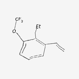 C=Cc1cccc(OC(F)(F)F)c1CC